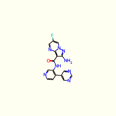 Nc1nn2cc(F)cnc2c1C(=O)Nc1cnccc1-c1cncnc1